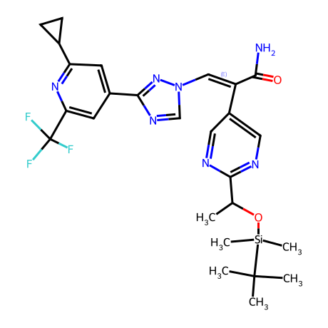 CC(O[Si](C)(C)C(C)(C)C)c1ncc(/C(=C\n2cnc(-c3cc(C4CC4)nc(C(F)(F)F)c3)n2)C(N)=O)cn1